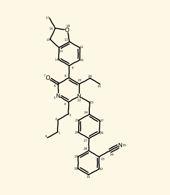 CCCCc1nc(=O)c(-c2ccc3c(c2)CC(C)O3)c(CC)n1Cc1ccc(-c2ccccc2C#N)cc1